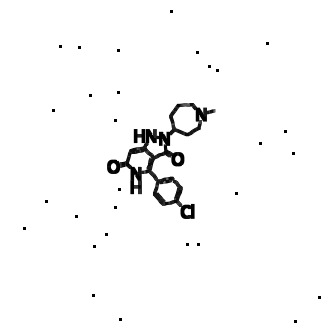 CN1CCCC(n2[nH]c3cc(=O)[nH]c(-c4ccc(Cl)cc4)c3c2=O)CC1